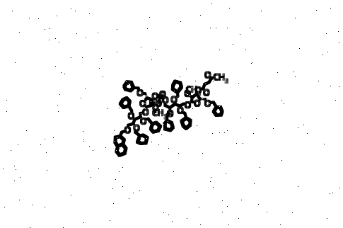 COC1C(OC(=O)CCC(C)=O)[C@@H](COCc2ccccc2)O[C@H]1OCC(OCc1ccccc1)C(OCc1ccccc1)C(COP(=O)(O)OC1C(OC)[C@H](OCC(OCc2ccccc2)C(OCc2ccccc2)C(COCc2ccc3ccccc3c2)OCc2ccccc2)O[C@@H]1COCc1ccccc1)OCc1ccccc1